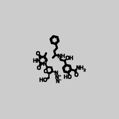 CC(CCc1ccccc1)NCC(O)c1ccc(O)c(C(N)=O)c1.Cc1cn([C@H]2C[C@H](N=[N+]=[N-])[C@@H](CO)O2)c(=O)[nH]c1=O